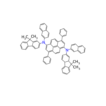 CC1(C)c2ccccc2-c2ccc(N(c3ccc4ccccc4c3)c3cc(-c4ccccc4)c4ccc5c(N(C6=CC7C(C=C6)c6ccccc6C7(C)C)c6ccc7ccccc7c6)cc(-c6ccccc6)c6ccc3c4c65)cc21